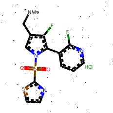 CNCc1cn(S(=O)(=O)c2nccs2)c(-c2cccnc2F)c1F.Cl